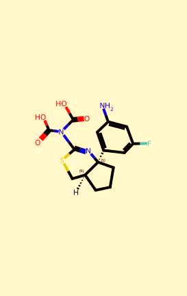 Nc1cc(F)cc([C@]23CCC[C@H]2CSC(N(C(=O)O)C(=O)O)=N3)c1